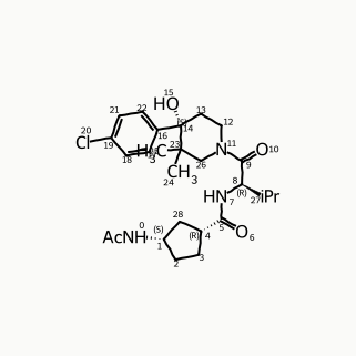 CC(=O)N[C@H]1CC[C@@H](C(=O)N[C@@H](C(=O)N2CC[C@](O)(c3ccc(Cl)cc3)C(C)(C)C2)C(C)C)C1